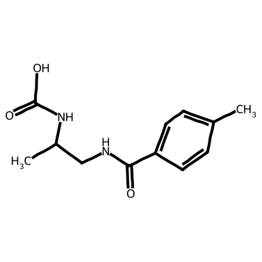 Cc1ccc(C(=O)NCC(C)NC(=O)O)cc1